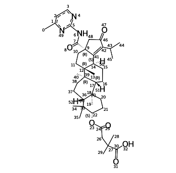 Cc1ccnc(NC(=O)[C@@]23CC[C@]4(C)[C@H](CC[C@@H]5[C@@]6(C)CC[C@H](OC(=O)CC(C)(C)C(=O)O)C(C)(C)[C@@H]6CC[C@]54C)C2=C(C(C)C)C(=O)C3)n1